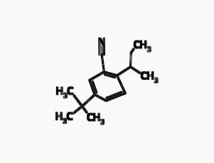 CCC(C)c1ccc(C(C)(C)C)cc1C#N